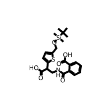 CC(C)(C)[Si](C)(C)OCc1ccc(C(CNC(=O)c2ccccc2C(=O)O)C(=O)O)s1